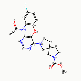 CC(C)C(=O)Nc1cc(F)ccc1Oc1cncnc1N1CCC2(CCN(C(=O)OC(C)(C)C)C2)C1